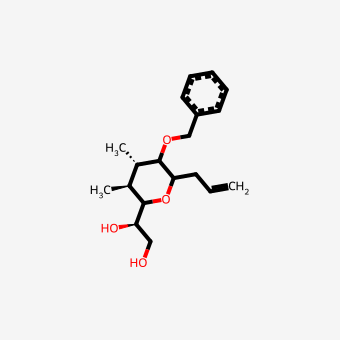 C=CCC1OC([C@H](O)CO)[C@@H](C)[C@H](C)C1OCc1ccccc1